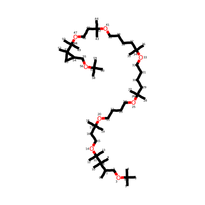 CC(COC(C)(C)C)C(C)(C)C(C)(C)OCCC(C)(C)OCCCCOC(C)(C)CCCCOC(C)(C)CCCCOC(C)(C)CCOC(C)(C)C1(C)CC1COC(C)(C)C